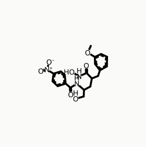 COc1cccc(CC(CC(CO)NC(=O)c2ccc([N+](=O)[O-])cc2)C(=O)NO)c1